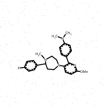 COc1ccc(N2CCC(c3ccc(F)cc3)N(C)CC2)c(-c2ccc(N(C)C)cc2)n1